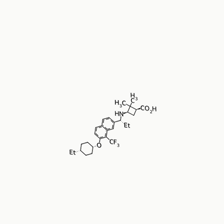 CC[C@@H](N[C@@H]1C[C@H](C(=O)O)C1(C)C)c1ccc2ccc(O[C@H]3CC[C@@H](CC)CC3)c(C(F)(F)F)c2c1